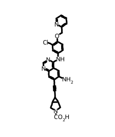 Nc1cc2c(Nc3ccc(OCc4ccccn4)c(Cl)c3)ncnc2cc1C#CC1C2CN(C(=O)O)CC12